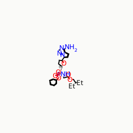 CCC(CC)COC(=O)CNP(=O)(OC[C@@H]1CCC(c2ccc3c(N)ncnn23)O1)Oc1ccccc1